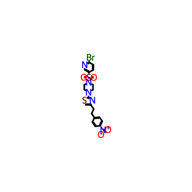 O=[N+]([O-])c1ccc(CCc2csc(N3CCN(S(=O)(=O)c4ccc(Br)nc4)CC3)n2)cc1